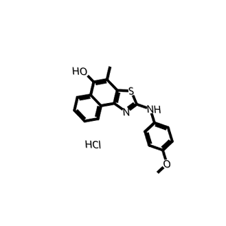 COc1ccc(Nc2nc3c(s2)c(C)c(O)c2ccccc23)cc1.Cl